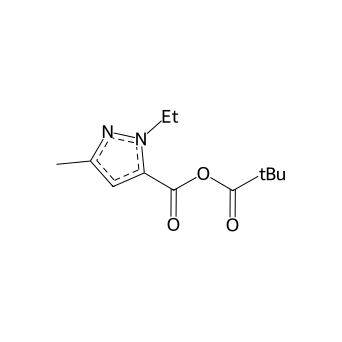 CCn1nc(C)cc1C(=O)OC(=O)C(C)(C)C